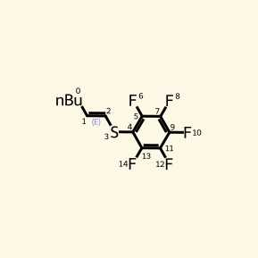 CCCC/C=C/Sc1c(F)c(F)c(F)c(F)c1F